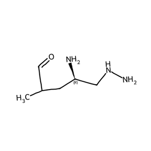 CC(C=O)C[C@@H](N)CNN